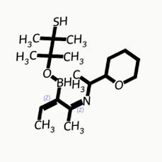 C/C=C(BOC(C)(C)C(C)(C)S)\C(C)=N/C(C)C1CCCCO1